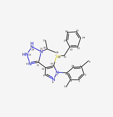 Cc1ccc(C)c(-n2ncc(C3=NNNN3C(C)C)c2SCc2ccccc2)c1